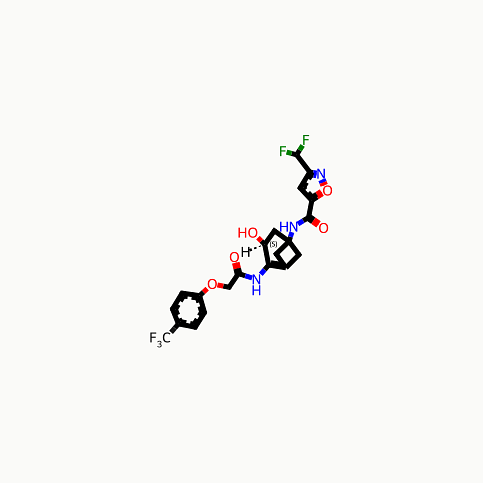 O=C(COc1ccc(C(F)(F)F)cc1)NC1=C2CC(NC(=O)c3cc(C(F)F)no3)(C2)C[C@@H]1O